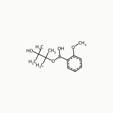 COc1ccccc1B(O)OC(C)(C)C(C)(C)O